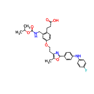 Cc1oc(-c2ccc(Nc3ccc(F)cc3)cc2)nc1CCOc1ccc(CCC(=O)O)c(CNC(=O)OC(C)C)c1